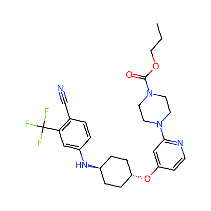 CCCOC(=O)N1CCN(c2cc(O[C@H]3CC[C@H](Nc4ccc(C#N)c(C(F)(F)F)c4)CC3)ccn2)CC1